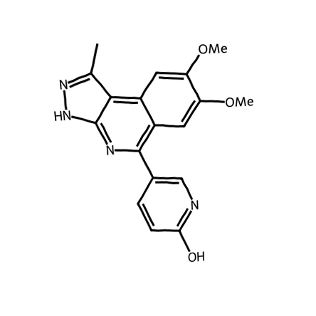 COc1cc2c(-c3ccc(O)nc3)nc3[nH]nc(C)c3c2cc1OC